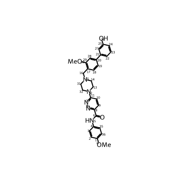 COc1ccc(NC(=O)c2ccc(N3CCN(Cc4ccc(-c5cccc(O)c5)cc4OC)CC3)nn2)cc1